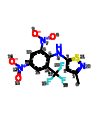 Cc1cc(Nc2c([N+](=O)[O-])cc([N+](=O)[O-])cc2C(F)(F)F)sn1